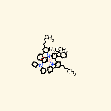 CCCCc1ccc(N2c3ccc(N(c4ccccc4)c4ccccc4)cc3B3c4c2cc2c(c4-c4cc(CCCC)cc5c6ccccc6n3c45)-c3ccccc3C2(C)C)c(-c2ccccc2)c1